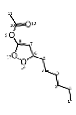 CCCCCCC1CC(OC(C)=O)OO1